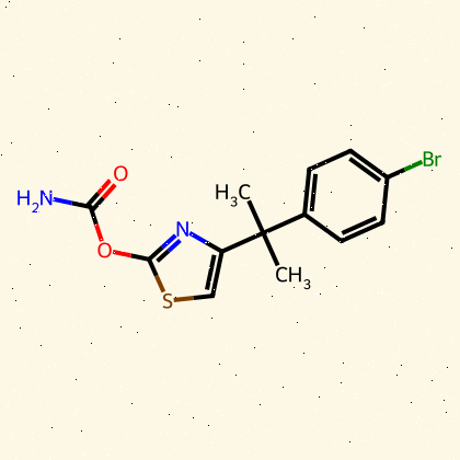 CC(C)(c1ccc(Br)cc1)c1csc(OC(N)=O)n1